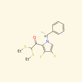 CCSC(SCC)C(=O)c1c(F)c(F)cn1[C@H](C)c1ccccc1